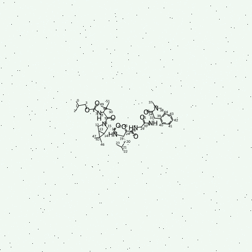 CC(C)COC(=O)N[C@H](C(=O)N1CC2C([C@H]1C(=O)N[C@@H](CC(C)C)C(=O)C(=O)NCC(=O)N[C@H](C(=O)N(C)C)c1ccccc1)C2(C)C)C(C)(C)C